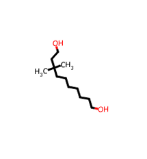 CC(C)(CCO)CCCCCCCO